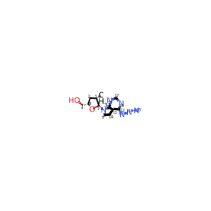 C[C@H]1C[C@@H](CO)O[C@H]1n1ccc2c(N=[N+]=[N-])ncnc21